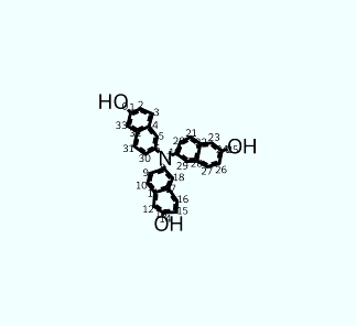 Oc1ccc2cc(N(c3ccc4cc(O)ccc4c3)c3ccc4cc(O)ccc4c3)ccc2c1